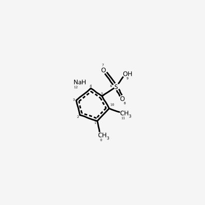 Cc1cccc(S(=O)(=O)O)c1C.[NaH]